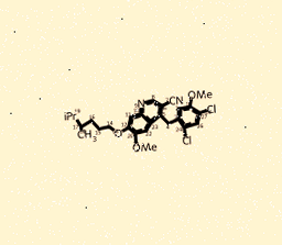 COc1cc(Cc2c(C#N)cnc3cc(OCCCC(C)C(C)C)c(OC)cc23)c(Cl)cc1Cl